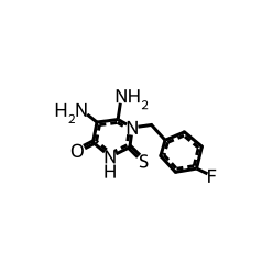 Nc1c(N)n(Cc2ccc(F)cc2)c(=S)[nH]c1=O